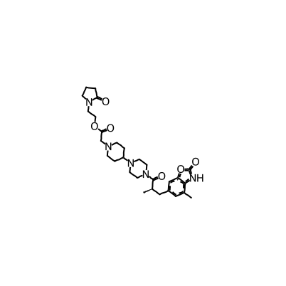 Cc1cc(C[C@@H](C)C(=O)N2CCN(C3CCN(CC(=O)OCCN4CCCC4=O)CC3)CC2)cc2oc(=O)[nH]c12